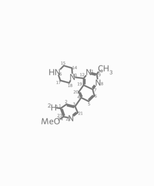 [2H]c1cc(-c2ccc3nc(C)nc(N4CCNCC4)c3c2)cnc1OC